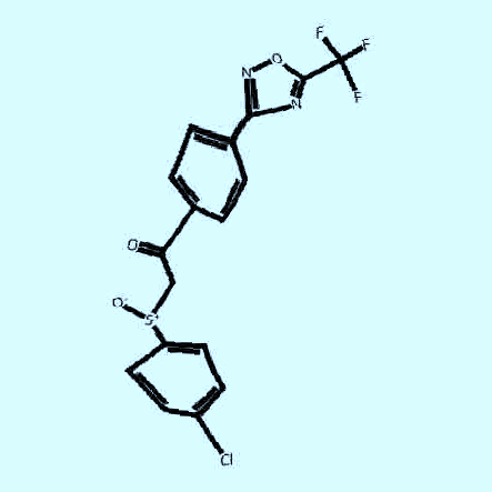 O=C(C[S+]([O-])c1ccc(Cl)cc1)c1ccc(-c2noc(C(F)(F)F)n2)cc1